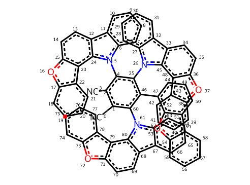 N#Cc1c(C#N)c(-n2c3ccccc3c3ccc4oc5ccccc5c4c32)c(-n2c3ccccc3c3ccc4oc5ccccc5c4c32)c(-c2cccc3c2oc2ccccc23)c1-n1c2ccccc2c2ccc3oc4ccccc4c3c21